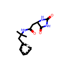 CC(C)(Cc1ccccc1)NC(=O)CC1NC(=O)NC1=O